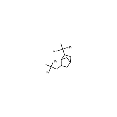 CCCC(C)(CCC)SC1CC2CC1C(C(C)(CCC)CCC)C2